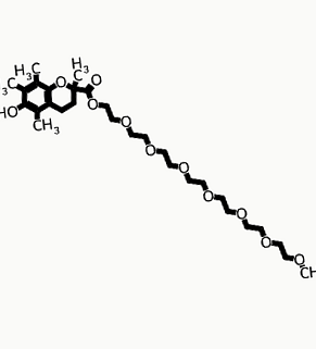 COCCOCCOCCOCCOCCOCCOCCOC(=O)C1(C)CCc2c(C)c(O)c(C)c(C)c2O1